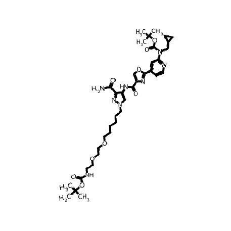 CC(C)(C)OC(=O)NCCOCCOCCCCCCn1cc(NC(=O)c2coc(-c3ccnc(N(CC4CC4)C(=O)OC(C)(C)C)c3)n2)c(C(N)=O)n1